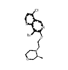 C[C@H]1COCCN1CCOc1ncc2c(Cl)ccnc2c1Br